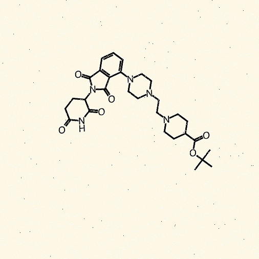 CC(C)(C)OC(=O)C1CCN(CCN2CCN(c3cccc4c3C(=O)N(C3CCC(=O)NC3=O)C4=O)CC2)CC1